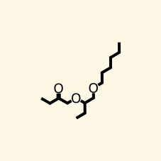 CCCCCCOCC(CC)OCC(=O)CC